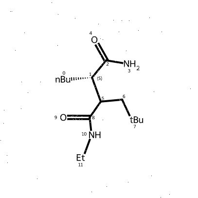 CCCC[C@H](C(N)=O)C(CC(C)(C)C)C(=O)NCC